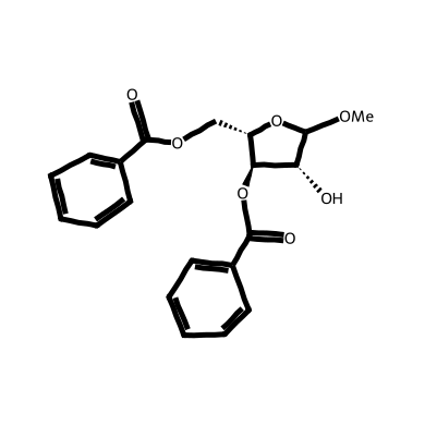 COC1O[C@@H](COC(=O)c2ccccc2)[C@H](OC(=O)c2ccccc2)[C@H]1O